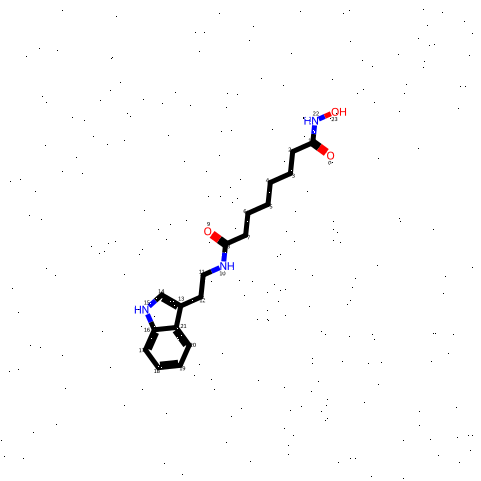 O=C(CCCCCCC(=O)NCCc1c[nH]c2ccccc12)NO